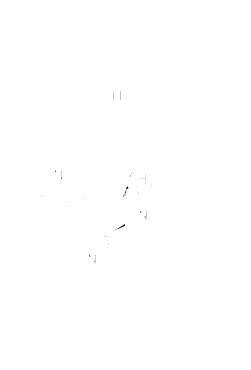 Cc1ccc(S(=O)(=O)n2c3c(c4ccccc42)CCN2C(=O)C[C@H]4[C@H](C[N+](=O)[O-])[C@@H](C)C[C@]342)cc1